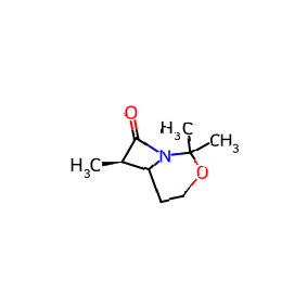 C[C@H]1C(=O)N2C1CCOC2(C)C